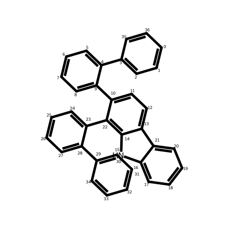 c1ccc(-c2ccccc2-c2ccc3c([nH]c4ccccc43)c2-c2ccccc2-c2ccccc2)cc1